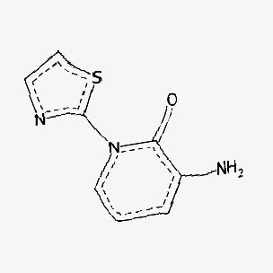 Nc1cccn(-c2nccs2)c1=O